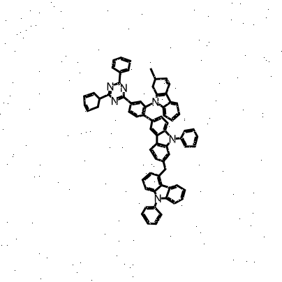 CC1C=Cc2c(n(-c3cc(-c4nc(-c5ccccc5)nc(C5C=CC=CC5)n4)ccc3-c3ccc4c(c3)c3ccc(Cc5cccc6c5c5ccccc5n6-c5ccccc5)cc3n4-c3ccccc3)c3ccccc23)C1